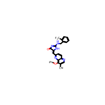 CC(C)Oc1c(C#N)cnc2ccc(/C=C3\NC(NCc4ccccc4C(F)(F)F)=NC3=O)nc12